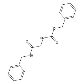 O=C(CNC(=O)OCc1ccccc1)NCc1ccccn1